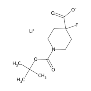 CC(C)(C)OC(=O)N1CCC(F)(C(=O)[O-])CC1.[Li+]